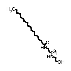 CCC=CCC=CCC=CCCCCCCCC(=O)NCC[PH](=O)NCCO